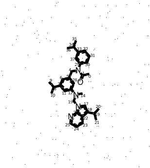 CC(=O)N(Cc1cc(C(C)C)cc(N(C)Cn2cc(C(C)C)c3cccnc32)c1)c1cccc(C(C)C)c1